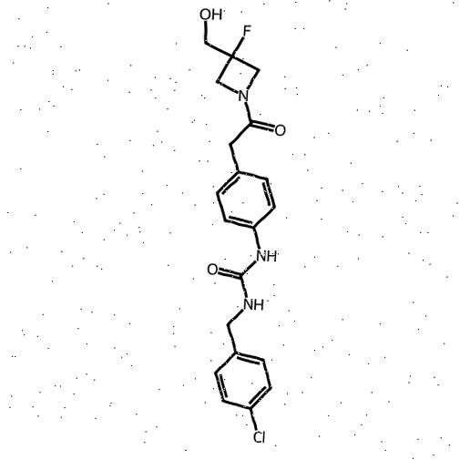 O=C(NCc1ccc(Cl)cc1)Nc1ccc(CC(=O)N2CC(F)(CO)C2)cc1